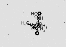 CCCCOC(=O)C(C)(CC(C)c1ccccc1)CC(C)(CC)C(=O)OCCNC(=O)c1ccccc1O